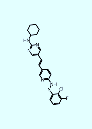 Fc1cccc(SNc2ccc(/C=C/c3cnc(NC4CCCCC4)nc3)cn2)c1Cl